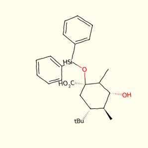 CC1[C@H](O)[C@@H](C)[C@H](C(C)(C)C)C[C@]1(O[SiH](c1ccccc1)c1ccccc1)C(=O)O